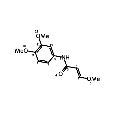 COC=CC(=O)Nc1ccc(OC)c(OC)c1